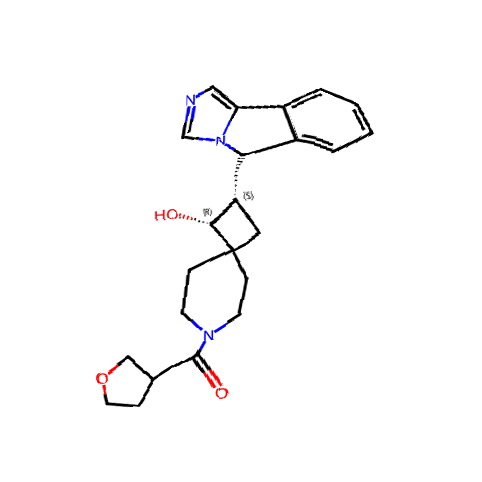 O=C(C1CCOC1)N1CCC2(CC1)C[C@@H](C1c3ccccc3-c3cncn31)[C@H]2O